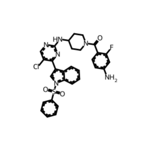 Nc1ccc(C(=O)N2CCC(Nc3ncc(Cl)c(-c4cn(S(=O)(=O)c5ccccc5)c5ccccc45)n3)CC2)c(F)c1